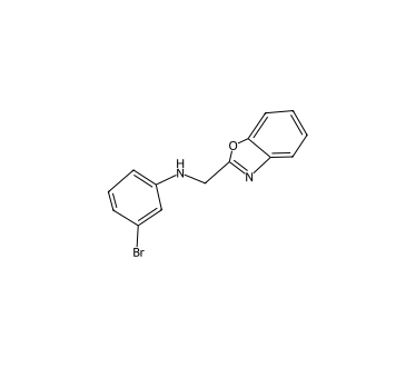 Brc1cccc(NCc2nc3ccccc3o2)c1